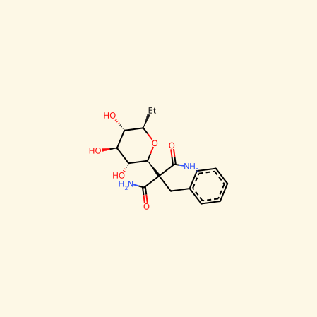 CC[C@H]1O[C@@H](C(Cc2ccccc2)(C(N)=O)C(N)=O)[C@H](O)[C@@H](O)[C@@H]1O